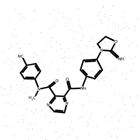 CN(C(=O)c1nccnc1C(=O)Nc1ccc(N2CCOC2=N)cc1)c1ccc(C#N)cc1